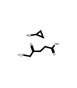 NCC(=O)CCC(=O)O.OC1CC1